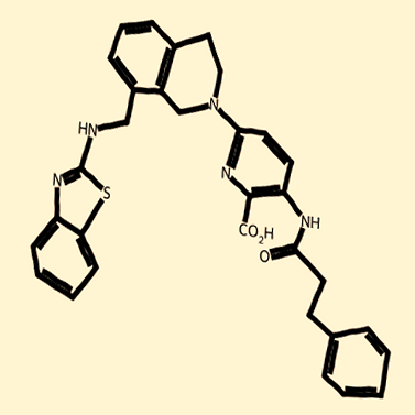 O=C(CCc1ccccc1)Nc1ccc(N2CCc3cccc(CNc4nc5ccccc5s4)c3C2)nc1C(=O)O